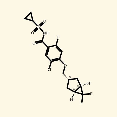 O=C(NS(=O)(=O)C1CC1)c1cc(Cl)c(OC[C@@H]2C[C@@H]3[C@H](C2)C3(F)F)cc1F